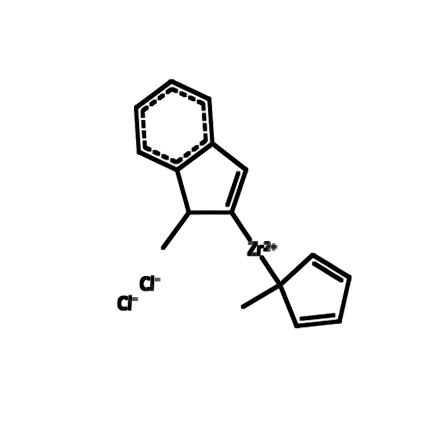 CC1[C]([Zr+2][C]2(C)C=CC=C2)=Cc2ccccc21.[Cl-].[Cl-]